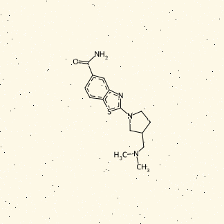 CN(C)CC1CCN(c2nc3cc(C(N)=O)ccc3s2)C1